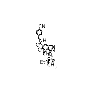 CCN(C)SC1(COc2nncc3cc(C(=O)NCc4ccc(C#N)cc4)c(=O)n(C)c23)CC1